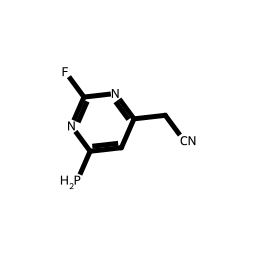 N#CCc1cc(P)nc(F)n1